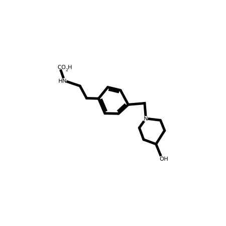 O=C(O)NCCc1ccc(CN2CCC(O)CC2)cc1